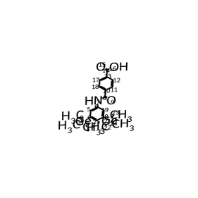 [CH3][Ge]([CH3])([CH3])[c]1cc(NC(=O)c2ccc(C(=O)O)cc2)c[c]([Ge]([CH3])([CH3])[CH3])c1